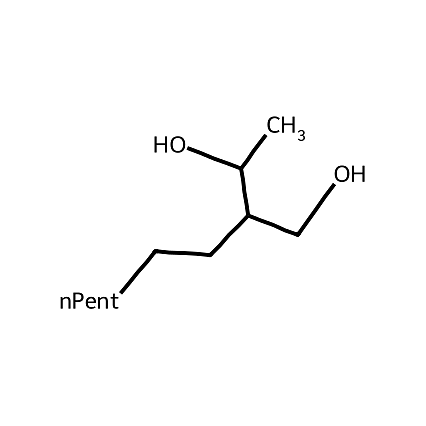 CCCCCCCC(CO)C(C)O